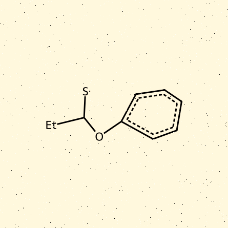 CCC([S])Oc1ccccc1